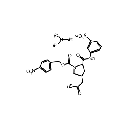 CCN(C(C)C)C(C)C.O=C(S)C[C@@H]1C[C@@H](C(=O)Nc2cccc(S(=O)(=O)O)c2)N(C(=O)OCc2ccc([N+](=O)[O-])cc2)C1